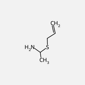 C=CCSC(C)N